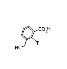 N#CCc1cccc(C(=O)O)c1F